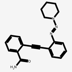 NC(=O)c1ccccc1C#Cc1ccccc1N=NN1CCCCC1